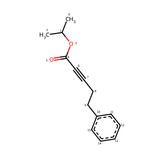 CC(C)OC(=O)C#CCCc1ccccc1